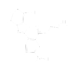 C=CCOC(=O)c1cc(N(C)C)ccc1-c1nc2c(s1)C(O)CCC2